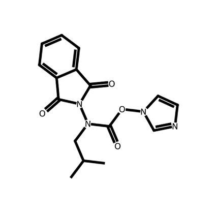 CC(C)CN(C(=O)On1ccnc1)N1C(=O)c2ccccc2C1=O